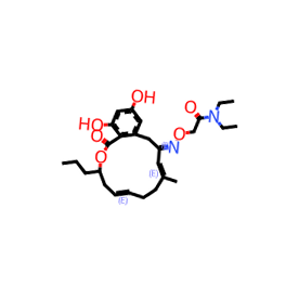 CCCC1C/C=C/CC/C(C)=C/C(=N/OCC(=O)N(CC)CC)Cc2cc(O)cc(O)c2C(=O)O1